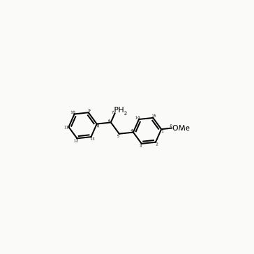 COc1ccc(CC(P)c2ccccc2)cc1